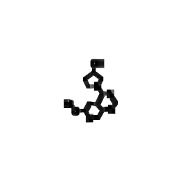 CCOc1cc2c(N3CCC(O)C3)ncnc2cn1